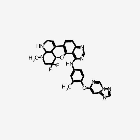 Cc1cc(Nc2ncnc3ccc(C4=CCNCC4)c(O[C@@H]4CCN(C)CC4(F)F)c23)ccc1Oc1cc2ncnn2cn1